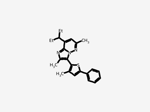 CCC(CC)c1cc(C)nn2c(-c3sc(-c4ccccc4)cc3C)c(C)nc12